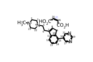 CN1CCN(CCC2=CCc3c2cccc3-c2cncnc2)CC1.O=C(O)/C=C\C(=O)O